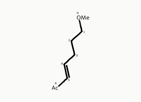 COCCCC=CC(C)=O